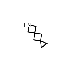 C1CC12CC1(CNC1)C2